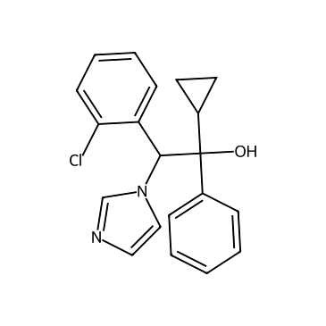 OC(c1ccccc1)(C1CC1)C(c1ccccc1Cl)n1ccnc1